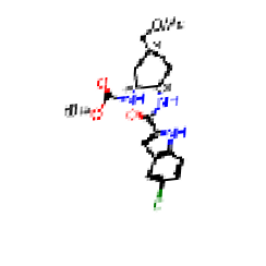 COC[C@H]1CC[C@H](NC(=O)c2cc3cc(Cl)ccc3[nH]2)[C@H](NC(=O)OC(C)(C)C)C1